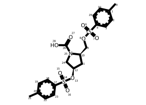 Cc1ccc(S(=O)(=O)OC[C@H]2C[C@@H](OS(=O)(=O)c3ccc(C)cc3)CN2C(=O)O)cc1